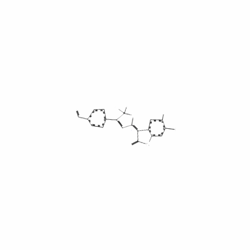 CC1(C)O/C(=C2/C(=O)Nc3cc(F)c(F)cc32)C=C1c1ccc(C=O)cc1